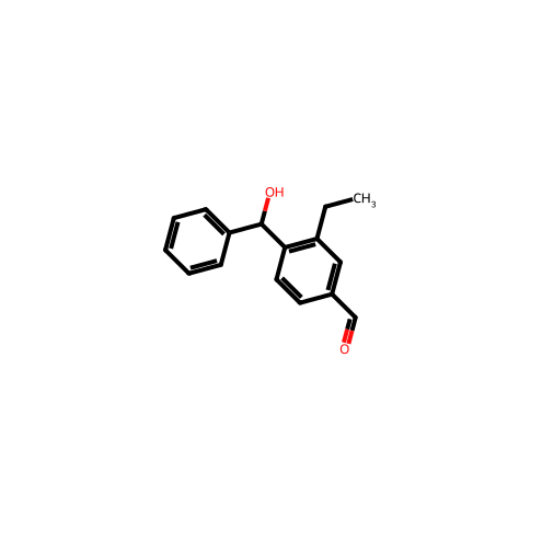 CCc1cc(C=O)ccc1C(O)c1ccccc1